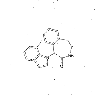 Cc1cccc2ccn(C3C(=O)NCCc4ccccc43)c12